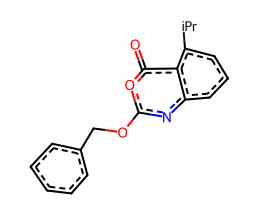 CC(C)c1cccc2nc(OCc3ccccc3)oc(=O)c12